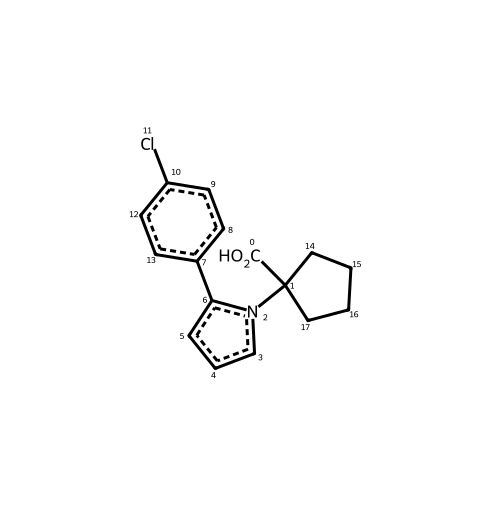 O=C(O)C1(n2cccc2-c2ccc(Cl)cc2)CCCC1